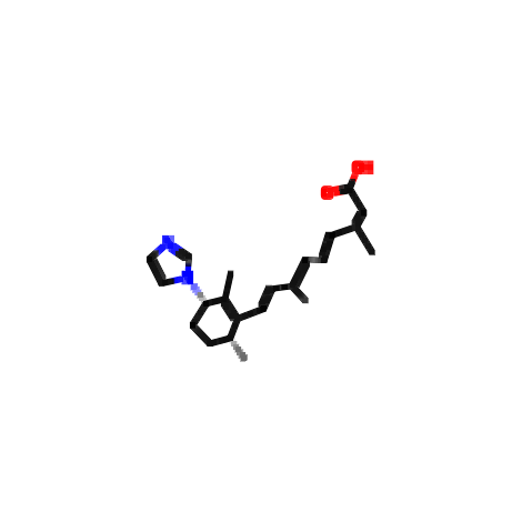 CC1=C(/C=C/C(C)=C/C=C/C(C)=C\C(=O)O)[C@H](C)CC[C@@H]1n1ccnc1